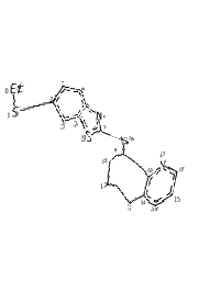 CCSc1ccc2nc(SC3CCCc4cccnc43)sc2c1